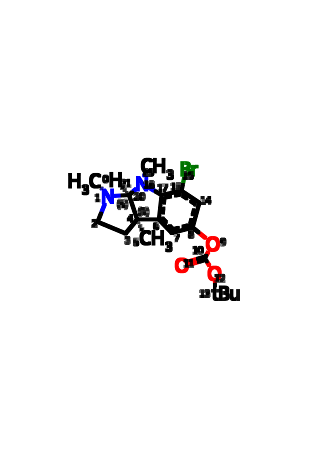 CN1CC[C@]2(C)c3cc(OC(=O)OC(C)(C)C)cc(Br)c3N(C)[C@H]12